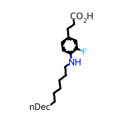 CCCCCCCCCCCCCCCCNc1ccc(CCC(=O)O)cc1F